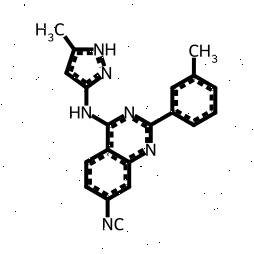 [C-]#[N+]c1ccc2c(Nc3cc(C)[nH]n3)nc(-c3cccc(C)c3)nc2c1